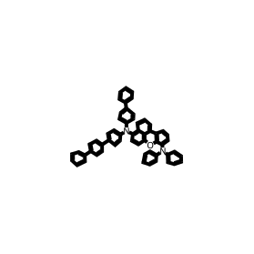 c1ccc(-c2ccc(-c3ccc(N(c4ccc(-c5ccccc5)cc4)c4ccc5c6c(cccc46)-c4cccc(N(c6ccccc6)c6ccccc6)c4O5)cc3)cc2)cc1